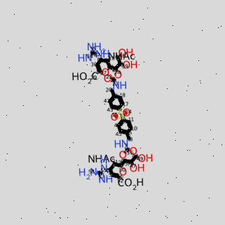 CC(=O)N[C@H]1[C@H]([C@H](OC(=O)NCc2ccc(S(=O)(=O)c3ccc(CNC(=O)O[C@@H]([C@@H]4OC(C(=O)O)=C[C@H](NC(=N)N)[C@H]4NC(C)=O)[C@H](O)CO)cc3)cc2)[C@H](O)CO)OC(C(=O)O)=C[C@@H]1NC(=N)N